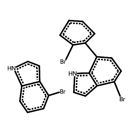 Brc1cccc2[nH]ccc12.Brc1ccccc1-c1ccc(Br)c2cc[nH]c12